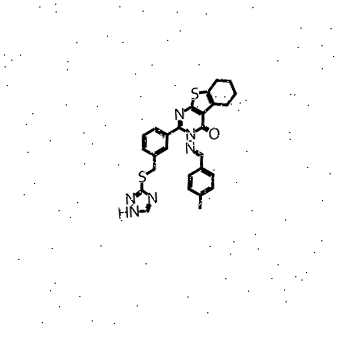 Cc1ccc(C=Nn2c(-c3cccc(CSc4nc[nH]n4)c3)nc3sc4c(c3c2=O)CCCC4)cc1